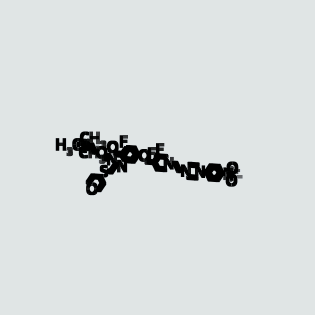 C[Si](C)(C)CCOCn1c(CSC2CCOCC2)nc2cc(OCC3CCN(CCN4CCN(c5ccc([N+](=O)[O-])cc5)CC4)CC3(F)F)cc(F)c2c1=O